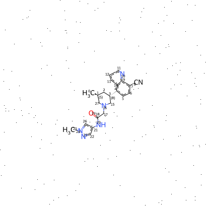 C[C@H]1C[C@H](c2ccc(C#N)c3ncccc23)CN(CC(=O)Nc2cnn(C)c2)C1